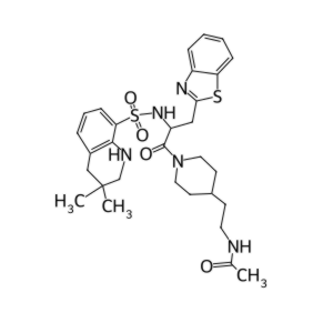 CC(=O)NCCC1CCN(C(=O)C(Cc2nc3ccccc3s2)NS(=O)(=O)c2cccc3c2NCC(C)(C)C3)CC1